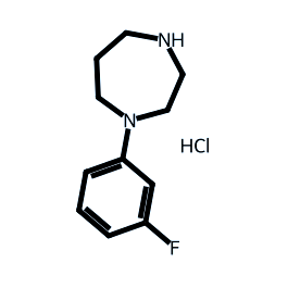 Cl.Fc1cccc(N2CCCNCC2)c1